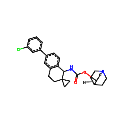 O=C(NC1c2ccc(-c3cccc(Cl)c3)cc2CCC12CC2)O[C@H]1CN2CCC1CC2